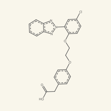 O=C(O)Cc1ccc(OCCOc2ccc(Cl)cc2-n2nc3ccccc3n2)cc1